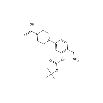 CC(C)(C)OC(=O)Nc1cc(N2CCN(C(=O)O)CC2)ccc1CN